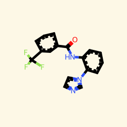 O=C(Nc1ccccc1-n1ccnc1)c1cccc(C(F)(F)F)c1